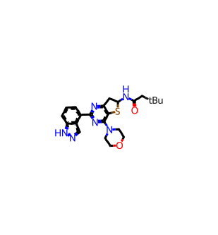 CC(C)(C)CC(=O)NC1Cc2nc(-c3cccc4[nH]ncc34)nc(N3CCOCC3)c2S1